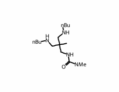 CCCCNCC(C)(CNCCCC)CNC(=O)NC